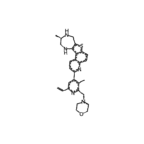 C=Cc1cc(-c2ccc3c(ccc4sc5c(c43)NC[C@@H](C)NC5)n2)c(C)c(CN2CCOCC2)n1